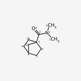 CN(C)C(=O)C12CCC(CC1)C2